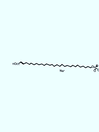 CCCCCCCCC=CCCCCCCCCCCCCCCCCCCCCCCCCCCOS(=O)(=O)[O-].[Na+]